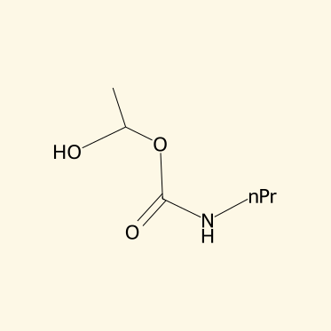 CCCNC(=O)OC(C)O